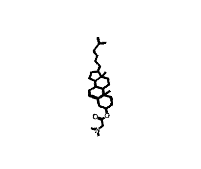 CC(C)CCCCC1CCC2C3CC=C4CC(OC(=O)CN(C)C)CCC4(C)C3CCC12C